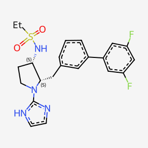 CCS(=O)(=O)N[C@H]1CCN(c2ncc[nH]2)[C@H]1Cc1cccc(-c2cc(F)cc(F)c2)c1